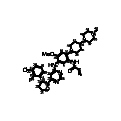 C=CC(=O)Nc1cc(Nc2cc(N3OCC[C@@H]3c3cccc(Cl)c3F)ncn2)c(OC)cc1N1CCC(N2CCN(C)CC2)CC1